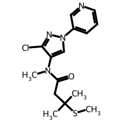 CSC(C)(C)CC(=O)N(C)c1cn(-c2cccnc2)nc1Cl